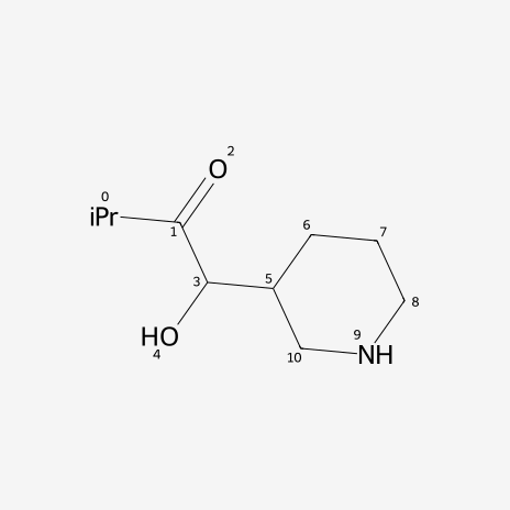 CC(C)C(=O)C(O)C1CCCNC1